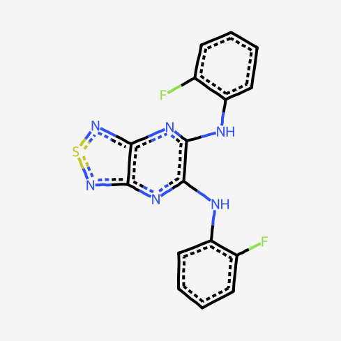 Fc1ccccc1Nc1nc2nsnc2nc1Nc1ccccc1F